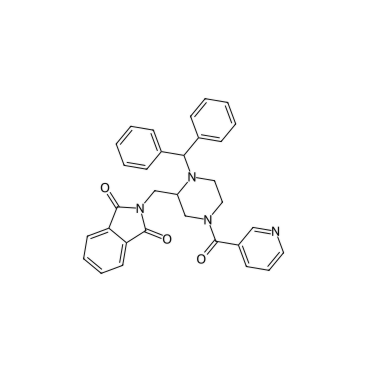 O=C(c1cccnc1)N1CCN(C(c2ccccc2)c2ccccc2)C(CN2C(=O)c3ccccc3C2=O)C1